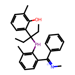 CCC(CC)(Pc1c(C)cccc1/C(=N/C)c1ccccc1)c1cccc(C)c1O